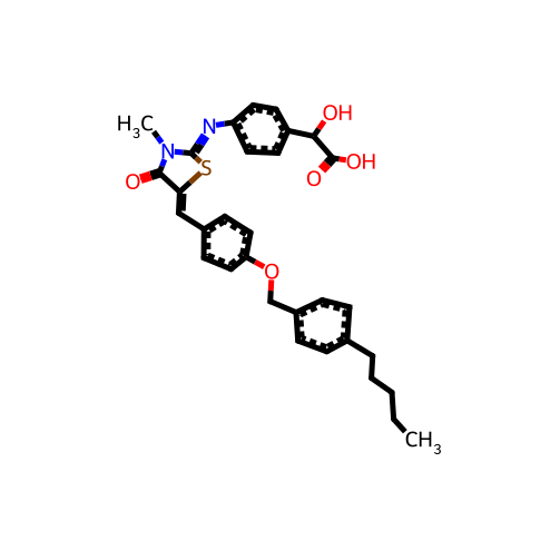 CCCCCc1ccc(COc2ccc(/C=C3\S/C(=N\c4ccc(C(O)C(=O)O)cc4)N(C)C3=O)cc2)cc1